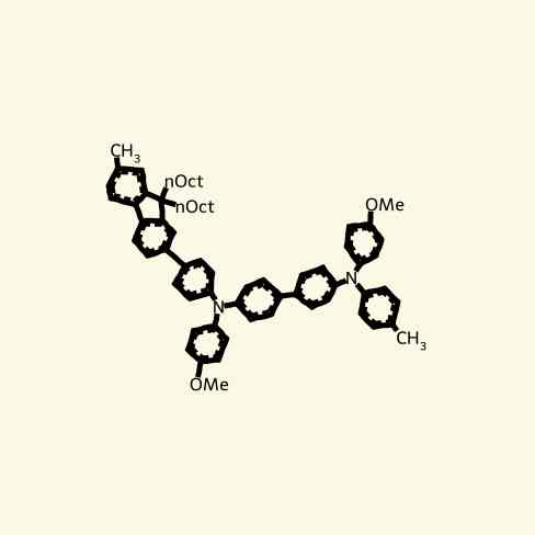 CCCCCCCCC1(CCCCCCCC)c2cc(C)ccc2-c2ccc(-c3ccc(N(c4ccc(OC)cc4)c4ccc(-c5ccc(N(c6ccc(C)cc6)c6ccc(OC)cc6)cc5)cc4)cc3)cc21